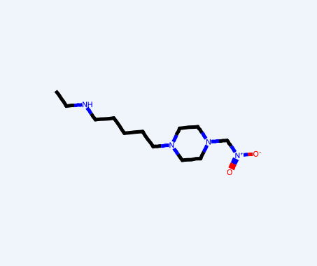 CCNCCCCCN1CCN(C[N+](=O)[O-])CC1